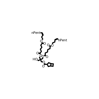 CCCCC/C=C\CCOC(=O)CCCCC(=O)OCC(CO)(COC(=O)CCCCC(=O)OCC/C=C\CCCCC)COC(=O)C1CC2CCC2C1